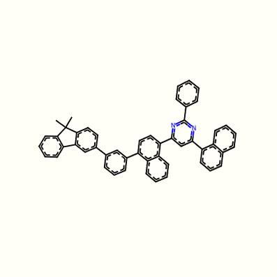 CC1(C)c2ccccc2-c2cc(-c3cccc(-c4ccc(-c5cc(-c6cccc7ccccc67)nc(-c6ccccc6)n5)c5ccccc45)c3)ccc21